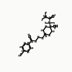 CN(C)C(=O)C(C)(C)C1(O)CCN(CCCC(=O)c2ccc(F)cc2)CC1